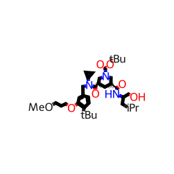 COCCCOc1cc(CN(C(=O)[C@@H]2C[C@H](C(=O)NC(CO)CC(C)C)CN(C(=O)OC(C)(C)C)C2)C2CC2)ccc1C(C)(C)C